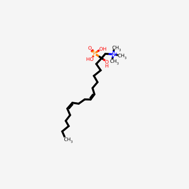 CCCCC/C=C\CC/C=C\CCCCCC(O)(C[N+](C)(C)C)P(=O)(O)O